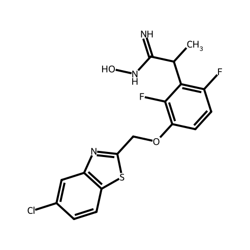 CC(C(=N)NO)c1c(F)ccc(OCc2nc3cc(Cl)ccc3s2)c1F